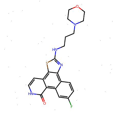 O=c1[nH]ccc2c3sc(NCCCN4CCOCC4)nc3c3ccc(F)cc3c12